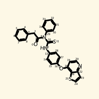 O=C(Cc1ccccc1)N(C(=S)Nc1ccc(Oc2ccnc3ccsc23)cc1)c1ccccc1